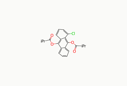 CC(C)C(=O)Oc1c2ccccc2c(OC(=O)C(C)C)c2c(Cl)cccc12